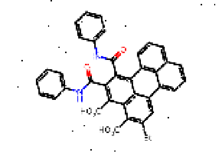 CCc1cc2c3cccc4cccc(c5c(C(=O)Nc6ccccc6)c(C(=O)Nc6ccccc6)c(C(=O)O)c(c1C(=O)O)c25)c43